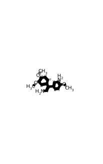 COc1ccc(C(=CN)c2ccc(OC)c(OC)c2)cc1N